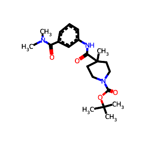 CN(C)C(=O)c1cccc(NC(=O)C2(C)CCN(C(=O)OC(C)(C)C)CC2)c1